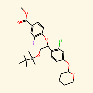 COC(=O)c1ccc(OC(CO[Si](C)(C)C(C)(C)C)c2ccc(OC3CCCCO3)cc2Cl)c(I)c1